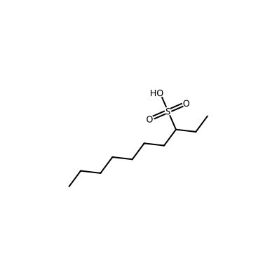 CCCCCCCC(CC)S(=O)(=O)O